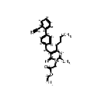 CCCCc1nc(C)n(CC(=O)OCC)c(=O)c1Cc1ccc(-c2ccccc2C#N)cc1